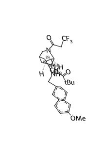 COc1ccc2cc(CN[C@H]3CC4C[C@@H](C)C([C@H]3OC(=O)C(C)(C)C)N(C(=O)CC(F)(F)F)C4)ccc2c1